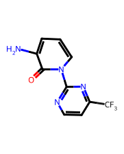 Nc1cccn(-c2nccc(C(F)(F)F)n2)c1=O